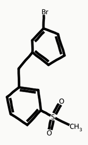 CS(=O)(=O)c1cccc(Cc2cccc(Br)c2)c1